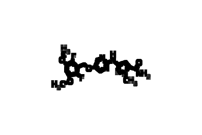 COc1cc(OC)c(F)c(COc2cnc(Nc3cc(C(N)=O)n(C)n3)nc2)c1F